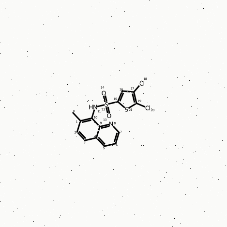 Cc1ccc2cccnc2c1NS(=O)(=O)c1cc(Cl)c(Cl)s1